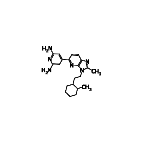 Cc1nc2ccc(-c3cc(N)nc(N)c3)nc2n1CCC1CCCCC1C